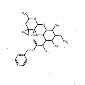 CCC1C(O)C2OC3OC(C)CC4(CO4)C3(O)OC2C(N(C)C(=O)OCc2ccccc2)C1O